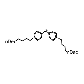 CCCCCCCCCCCCCCc1ccc([I+]c2ccc(CCCCCCCCCCCCCC)cc2)cc1